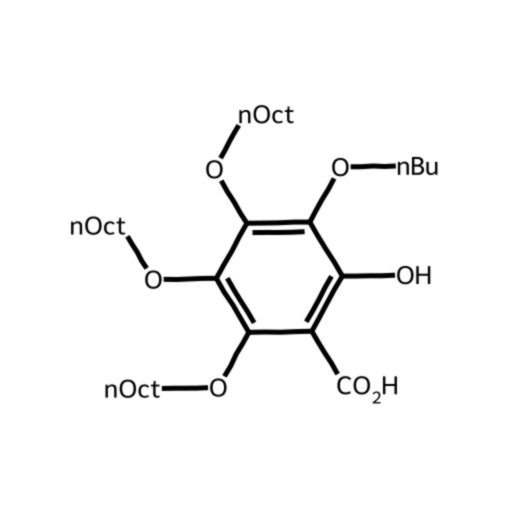 CCCCCCCCOc1c(OCCCC)c(O)c(C(=O)O)c(OCCCCCCCC)c1OCCCCCCCC